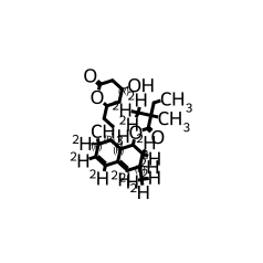 [2H]C1=C([2H])[C@]([2H])(C)[C@H](CCC2C[C@@H](O)CC(=O)O2)[C@@H]2C1=C([2H])[C@]([2H])(C([2H])([2H])[2H])C([2H])([2H])C2OC(=O)C(C)(CC)C([2H])([2H])[2H]